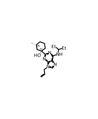 C=CCn1cnc2c(NC(CC)CC)nc([C@]3(O)CCC[C@@H](C)C3)nc21